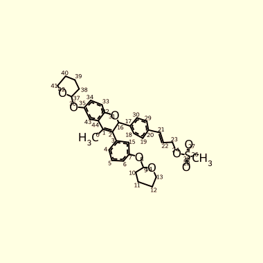 CC1=C(c2cccc(OC3CCCCO3)c2)C(c2ccc(C=CCOS(C)(=O)=O)cc2)Oc2ccc(OC3CCCCO3)cc21